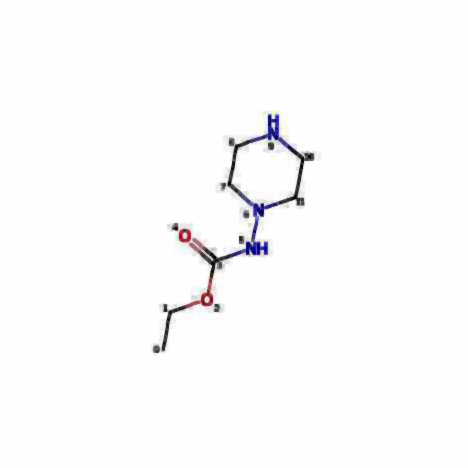 CCOC(=O)NN1CCNCC1